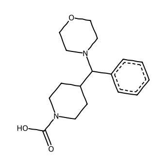 O=C(O)N1CCC(C(c2ccccc2)N2CCOCC2)CC1